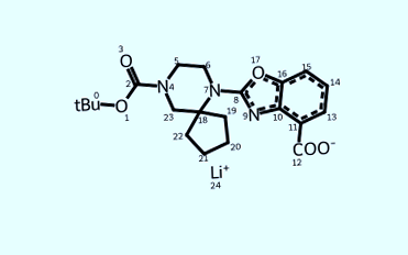 CC(C)(C)OC(=O)N1CCN(c2nc3c(C(=O)[O-])cccc3o2)C2(CCCC2)C1.[Li+]